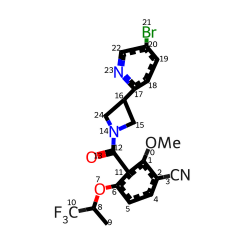 COc1c(C#N)ccc(OC(C)C(F)(F)F)c1C(=O)N1CC(c2ccc(Br)cn2)C1